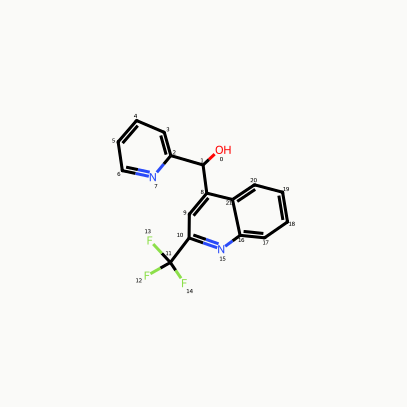 OC(c1ccccn1)c1cc(C(F)(F)F)nc2ccccc12